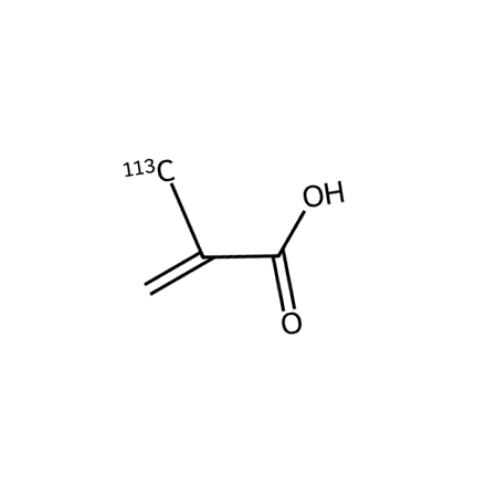 C=C([113CH3])C(=O)O